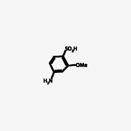 COc1cc(N)ccc1S(=O)(=O)O